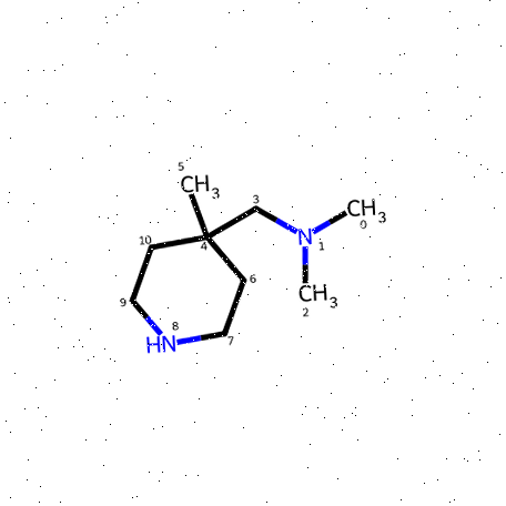 CN(C)CC1(C)CCNCC1